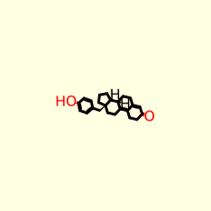 O=C1C=C2CC[C@@H]3C(=C2CC1)CC[C@]1(Cc2ccc(O)cc2)CCC[C@@H]31